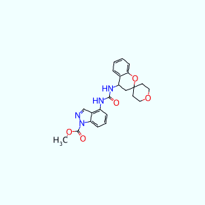 COC(=O)n1ncc2c(NC(=O)NC3CC4(CCOCC4)Oc4ccccc43)cccc21